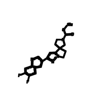 CC(C)(C)OC(=O)N1CCC2(CCn3nc(-c4cnc5cc(F)c(F)cc5c4)cc32)C1